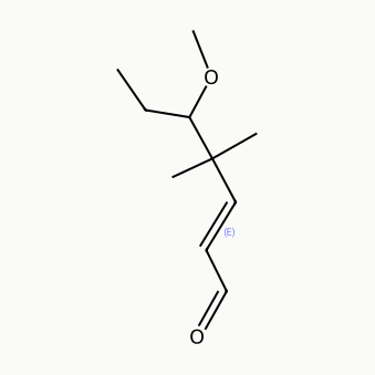 CCC(OC)C(C)(C)/C=C/C=O